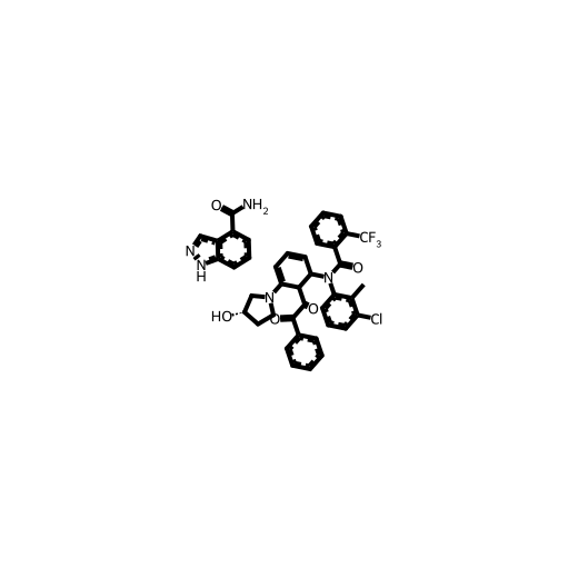 Cc1c(Cl)cccc1N(C(=O)c1ccccc1C(F)(F)F)C1C=CC=C(N2CC[C@H](O)C2)C1C(=O)C(=O)c1ccccc1.NC(=O)c1cccc2[nH]ncc12